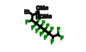 CCC(C(F)C(F)(F)C(F)(F)C(F)(F)C(F)(F)C(F)C(F)F)[SiH](OC)OC